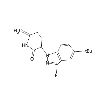 C=C1CCC(n2nc(F)c3cc(C(C)(C)C)ccc32)C(=O)N1